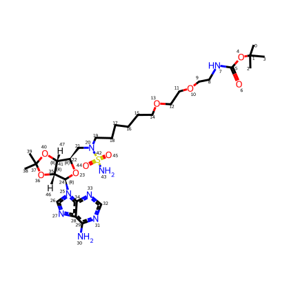 CC(C)(C)OC(=O)NCCOCCOCCCCCCN(C[C@H]1O[C@@H](n2cnc3c(N)ncnc32)[C@@H]2OC(C)(C)O[C@@H]21)S(N)(=O)=O